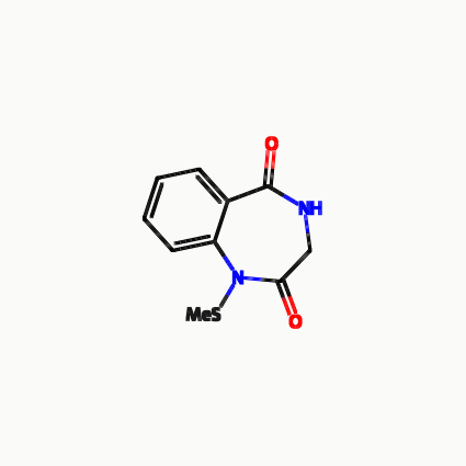 CSN1C(=O)CNC(=O)c2ccccc21